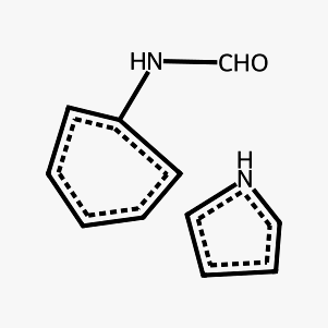 O=CNc1ccccc1.c1cc[nH]c1